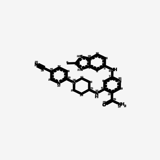 Cc1nc2cc(Nc3cc(NC4CCN(c5ccc(C#N)cn5)CC4)c(C(N)=O)cn3)ccc2s1